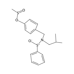 CC(C)CN(Cc1ccc(OS(C)=O)cc1)[S+]([O-])c1ccccc1